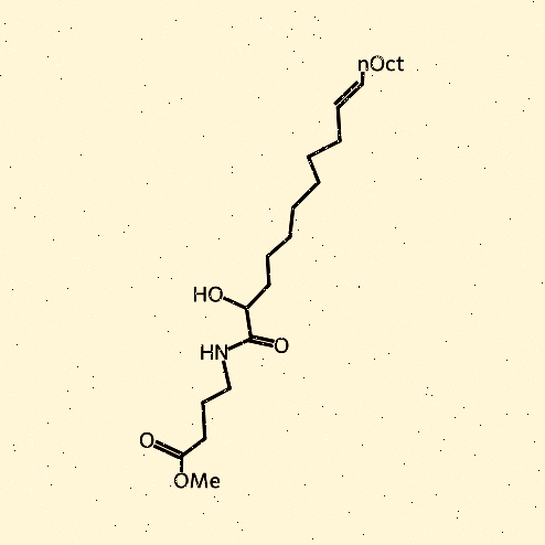 CCCCCCCC/C=C/CCCCCCCC(O)C(=O)NCCCC(=O)OC